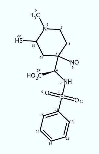 CN1CCC(N=O)([C@@H](NS(=O)(=O)c2ccccc2)C(=O)O)CC1S